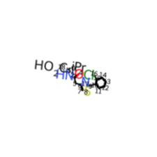 CC(C)[C@H](NC(=O)Cc1csc(-c2ccccc2Cl)n1)C(=O)O